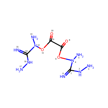 N=C(NN)N(N)OC(=O)C(=O)ON(N)C(=N)NN